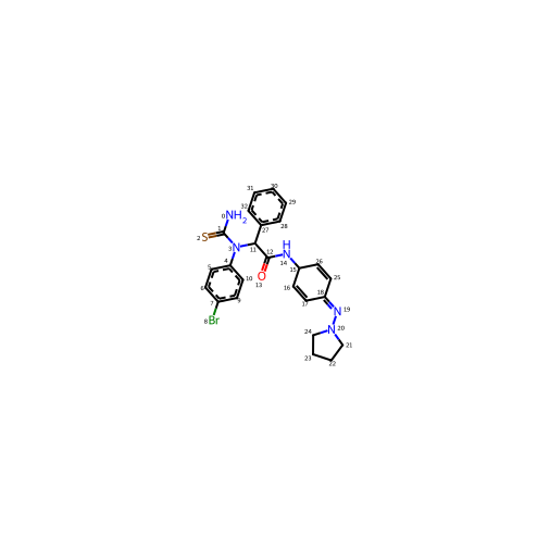 NC(=S)N(c1ccc(Br)cc1)C(C(=O)NC1C=CC(=NN2CCCC2)C=C1)c1ccccc1